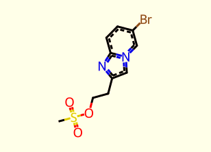 CS(=O)(=O)OCCc1cn2cc(Br)ccc2n1